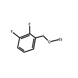 CCO[I]c1cccc(F)c1F